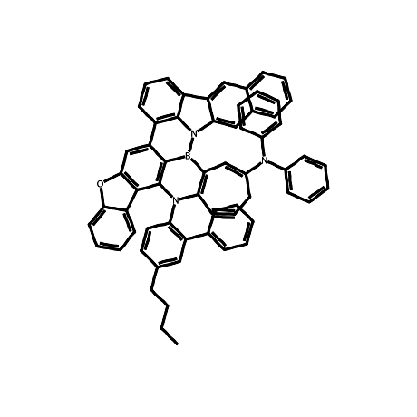 CCCCc1ccc(N2C3=C(C=C(N(c4ccccc4)c4ccccc4)CC#C3)B3c4c(cc5oc6ccccc6c5c42)-c2cccc4c5cc6ccccc6cc5n3c24)c(C2=CC=CCC2)c1